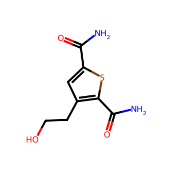 NC(=O)c1cc(CCO)c(C(N)=O)s1